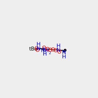 CC(C)(C)OC(=O)NCCCC[C@@H](N)C(=O)NCCOCCOCCOCCOCCNC(=O)CCCc1c[nH]c2ccccc12